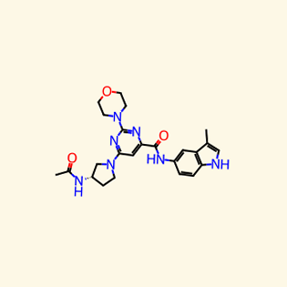 CC(=O)N[C@H]1CCN(c2cc(C(=O)Nc3ccc4[nH]cc(C)c4c3)nc(N3CCOCC3)n2)C1